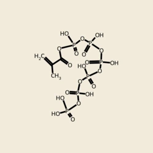 C=C(C)C(=O)OP(=O)(O)OP(=O)(O)OP(=O)(O)OP(=O)(O)OP(=O)(O)OP(=O)(O)O